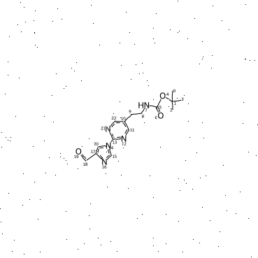 CC(C)(C)OC(=O)NCCc1cnc(-n2cnc(C=O)c2)nc1